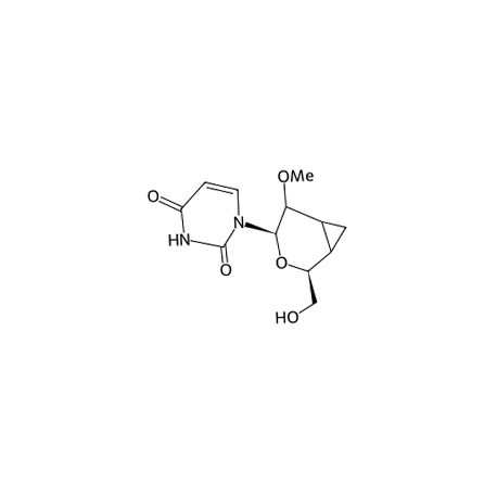 COC1C2CC2[C@@H](CO)O[C@H]1n1ccc(=O)[nH]c1=O